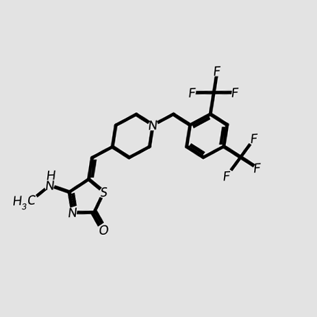 CNC1=NC(=O)S/C1=C\C1CCN(Cc2ccc(C(F)(F)F)cc2C(F)(F)F)CC1